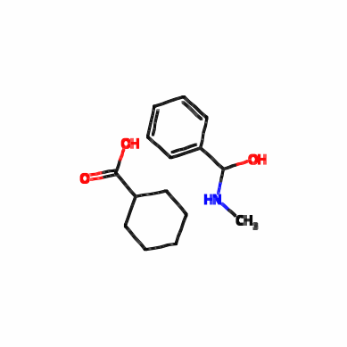 CNC(O)c1ccccc1.O=C(O)C1CCCCC1